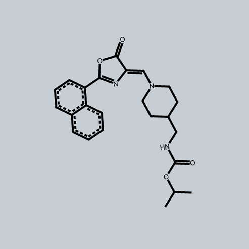 CC(C)OC(=O)NCC1CCN(C=C2N=C(c3cccc4ccccc34)OC2=O)CC1